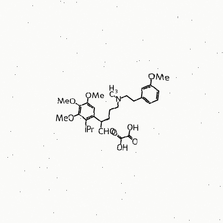 COc1cccc(CCN(C)CCCC(C=O)c2cc(OC)c(OC)c(OC)c2C(C)C)c1.O=C(O)C(=O)O